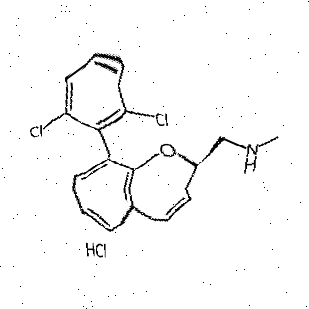 CNC[C@H]1C=Cc2cccc(-c3c(Cl)cccc3Cl)c2O1.Cl